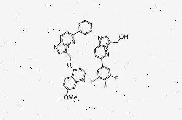 COc1ccc2c(OCc3cnc4ccc(-c5ccccc5)nn34)ccnc2c1.OCc1cnc2ccc(-c3cc(F)c(F)c(F)c3)nn12